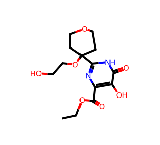 CCOC(=O)c1nc(C2(OCCO)CCOCC2)[nH]c(=O)c1O